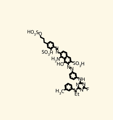 CCN(c1cccc(C)c1)c1nc(F)nc(Nc2cccc(/N=N/c3c(S(=O)(=O)O)cc4ccc(/N=N/c5ccc(CCCOS(=O)(=O)O)cc5S(=O)(=O)O)c(N)c4c3O)c2)n1